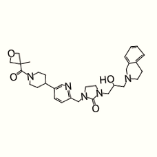 CC1(C(=O)N2CCC(c3ccc(CN4CCN(CC(O)CN5CCc6ccccc6C5)C4=O)nc3)CC2)COC1